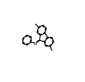 Cc1ccc2c(c1)C(=Nc1ccccc1)c1cc(C)ccc1-2